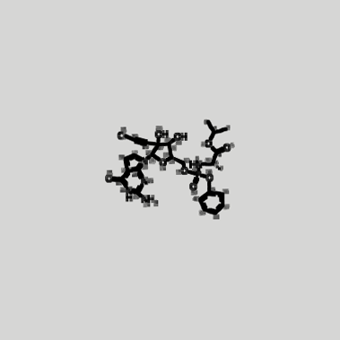 CC(C)OC(=O)[C@H](C)NP(=O)(OC[C@H]1O[C@@H](n2ccc3c(=O)[nH]c(N)nc32)C(O)(C#CCl)[C@H]1O)Oc1ccccc1